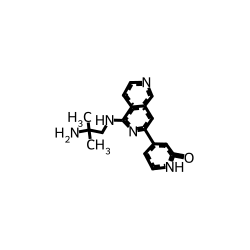 CC(C)(N)CNc1nc(-c2cc[nH]c(=O)c2)cc2cnccc12